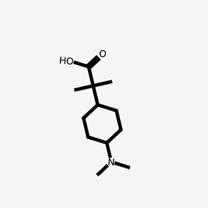 CN(C)C1CCC(C(C)(C)C(=O)O)CC1